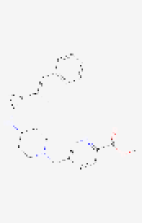 COC(=O)c1ccc(CN2CCC(N[C@@H]3C[C@H]3/C(C)=C/c3ccccc3)CC2)cn1